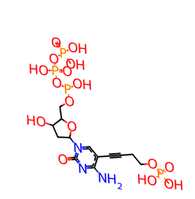 Nc1nc(=O)n(C2CC(O)C(COP(O)OP(=O)(O)OP(=O)(O)O)O2)cc1C#CCCOP(=O)(O)O